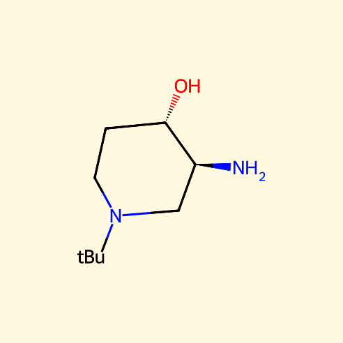 CC(C)(C)N1CC[C@H](O)[C@@H](N)C1